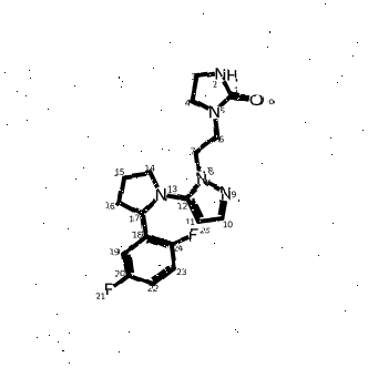 O=C1NCCN1CCn1nccc1N1CCCC1c1cc(F)ccc1F